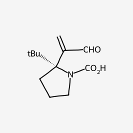 C=C(C=O)[C@]1(C(C)(C)C)CCCN1C(=O)O